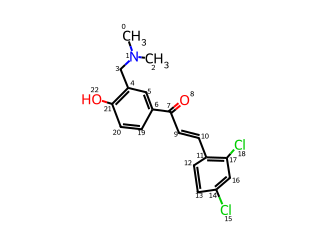 CN(C)Cc1cc(C(=O)C=Cc2ccc(Cl)cc2Cl)ccc1O